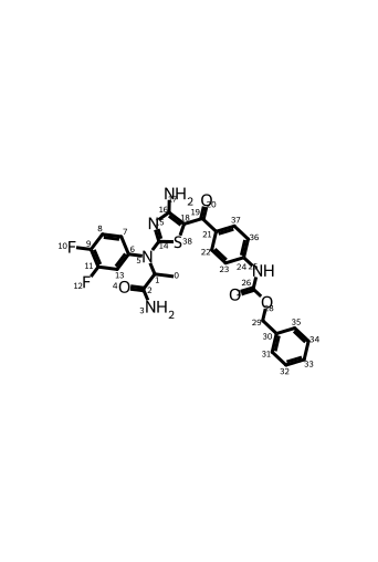 CC(C(N)=O)N(c1ccc(F)c(F)c1)c1nc(N)c(C(=O)c2ccc(NC(=O)OCc3ccccc3)cc2)s1